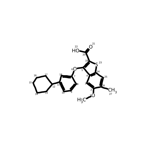 COc1cc2c(Oc3cccc(C4CCCCC4)c3)c(C(=O)O)sc2cc1C